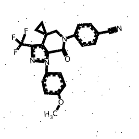 COc1ccc(-n2nc(C(F)(F)F)c3c2C(=O)N(c2ccc(C#N)cc2)CC32CC2)cc1